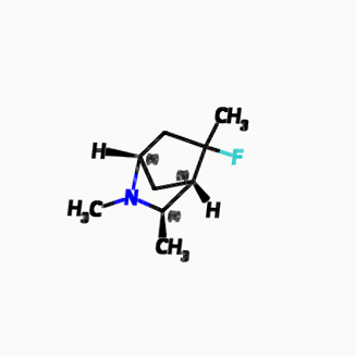 C[C@@H]1[C@@H]2C[C@@H](CC2(C)F)N1C